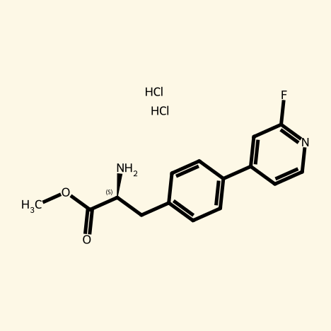 COC(=O)[C@@H](N)Cc1ccc(-c2ccnc(F)c2)cc1.Cl.Cl